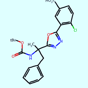 CC(C)(C)OC(=O)NC(C)(Cc1ccccc1)c1nnc(-c2cc(C(=O)O)ccc2Cl)o1